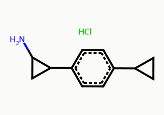 Cl.NC1CC1c1ccc(C2CC2)cc1